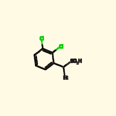 CCC(c1cccc(Cl)c1Cl)S(=O)(=O)O